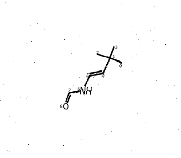 CC(C)(C)C=CNC=O